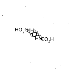 O=C(O)NCc1ccc(CNC(=O)O)cc1